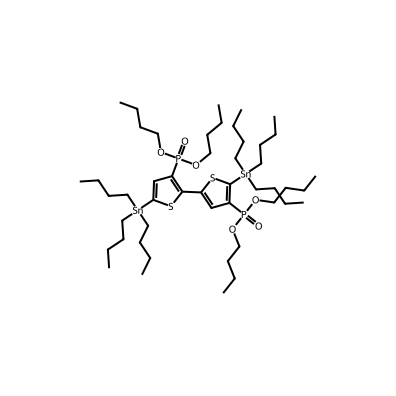 CCCCOP(=O)(OCCCC)c1c[c]([Sn]([CH2]CCC)([CH2]CCC)[CH2]CCC)sc1-c1cc(P(=O)(OCCCC)OCCCC)[c]([Sn]([CH2]CCC)([CH2]CCC)[CH2]CCC)s1